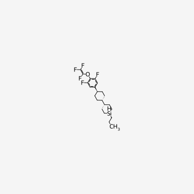 CCC[Si@H]1CC[C@H]([C@H]2CC[C@H](c3cc(F)c(OC(F)=C(F)F)c(F)c3)CC2)CC1